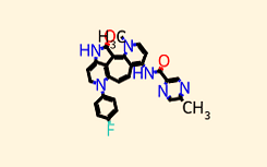 Cc1cnc(C(=O)NC2=c3ccc4c5c([nH]c(=O)c-5c3N(C)C=C2)=CCN4c2ccc(F)cc2)cn1